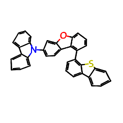 c1cc(-c2cccc3c2sc2ccccc23)c2c(c1)oc1cc(-n3c4ccccc4c4ccccc43)ccc12